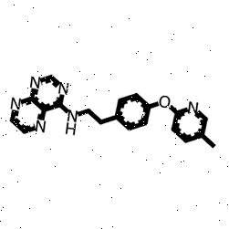 Cc1ccc(Oc2ccc(CCNc3ncnc4nccnc34)cc2)nc1